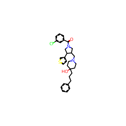 O=C(c1cccc(Cl)c1)N1CC(CN2CCC(O)(CCCc3ccccc3)CC2)C(c2ccsc2)C1